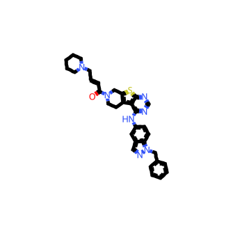 O=C(/C=C/CN1CCCCC1)N1CCc2c(sc3ncnc(Nc4ccc5c(cnn5Cc5ccccc5)c4)c23)C1